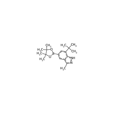 Cc1n[nH]c2c(C(C)(C)C)cc(B3OC(C)(C)C(C)(C)O3)cc12